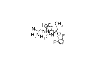 C=Cc1c(C(=O)NCC(N)C#N)c(C)nn1/C(=C\CC)OCc1c(F)cccc1F